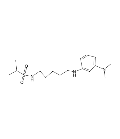 CC(C)S(=O)(=O)NCCCCCNc1cccc(N(C)C)c1